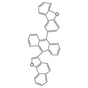 c1ccc2c(c1)ccc1c(-c3c4ccccc4c(-c4ccc5oc6ccccc6c5c4)c4ccccc34)coc12